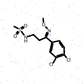 CO/N=C(\CCNS(C)(=O)=O)c1ccc(Cl)c(Cl)c1